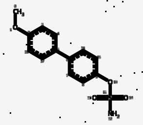 COc1ccc(-c2ccc(OS(N)(=O)=O)cc2)cc1